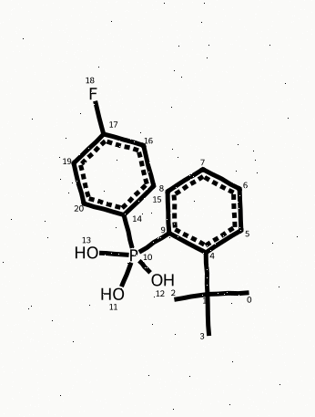 CC(C)(C)c1ccccc1P(O)(O)(O)c1ccc(F)cc1